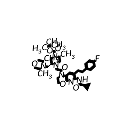 C[C@@H]1CN(CC(=O)N2CCOc3nc(NC(=O)C4CC4)c(CCc4ccc(F)cc4)cc32)[C@@H](CN2[C@H](C)COC[C@H]2C)CN1C(=O)OC(C)(C)C